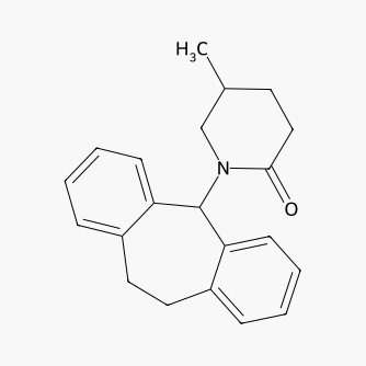 CC1CCC(=O)N(C2c3ccccc3CCc3ccccc32)C1